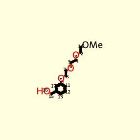 COCCOCCOCCOc1cccc(CO)c1